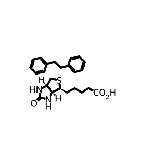 O=C(O)CCCC[C@@H]1SC[C@@H]2NC(=O)N[C@@H]21.c1ccc(CCc2ccccc2)cc1